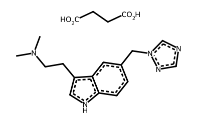 CN(C)CCc1c[nH]c2ccc(Cn3cncn3)cc12.O=C(O)CCC(=O)O